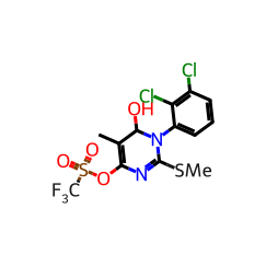 CSC1=NC(OS(=O)(=O)C(F)(F)F)=C(C)C(O)N1c1cccc(Cl)c1Cl